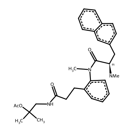 CN[C@H](Cc1ccc2ccccc2c1)C(=O)N(C)c1ccccc1CCC(=O)NCC(C)(C)OC(C)=O